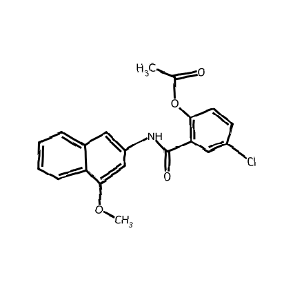 COc1cc(NC(=O)c2cc(Cl)ccc2OC(C)=O)cc2ccccc12